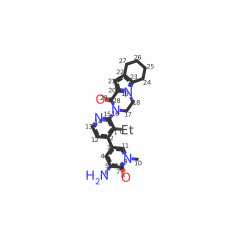 CCc1c(-c2cc(N)c(=O)n(C)c2)ccnc1N1CCn2c(cc3c2CCCC3)C1=O